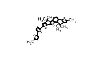 Cc1ccc(-c2ccc(-c3cc4c(s3)-c3sc5c6c(ccc5c3C4(C)C)-c3sc(C)cc3C6(C)C)s2)s1